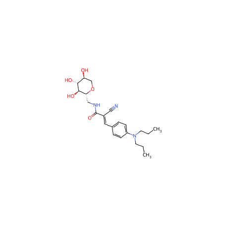 CCCN(CCC)c1ccc(/C=C(\C#N)C(=O)NC[C@H]2OC[C@H](O)[C@@H](O)[C@@H]2O)cc1